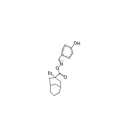 CCC1(C(=O)O/N=C/c2ccc(O)cc2)CC2CCCC(C2)C1